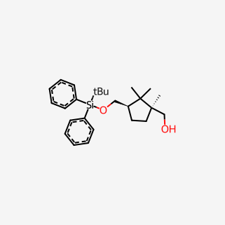 CC1(C)[C@H](CO[Si](c2ccccc2)(c2ccccc2)C(C)(C)C)CC[C@]1(C)CO